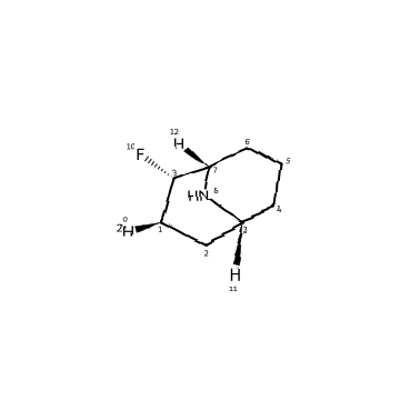 [2H][C@@H]1C[C@H]2CCC[C@H](N2)[C@H]1F